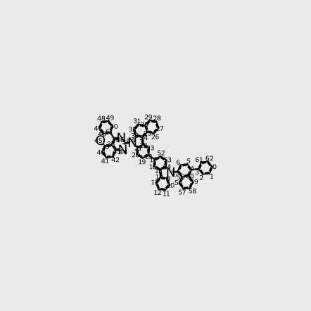 c1ccc(-c2ccc(-n3c4ccccc4c4cc(-c5ccc6c(c5)c5c7ccccc7ccc5n6-c5nc6c7c(cccc7n5)Oc5ccccc5-6)ccc43)c3ccccc23)cc1